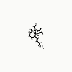 CCOC1(OCC)C(CCCN)CCC[Si]1(C)OCC